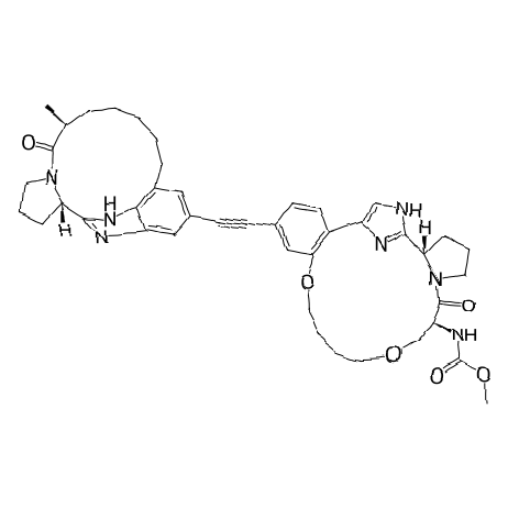 COC(=O)N[C@H]1COCCCCOc2cc(C#Cc3cc4c5[nH]c(nc5c3)[C@@H]3CCCN3C(=O)[C@@H](C)CCCCC4)ccc2-c2c[nH]c(n2)[C@@H]2CCCN2C1=O